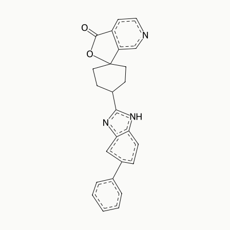 O=C1OC2(CCC(c3nc4cc(-c5ccccc5)ccc4[nH]3)CC2)c2cnccc21